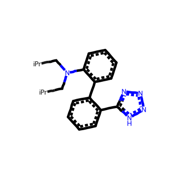 CC(C)CN(CC(C)C)c1ccccc1-c1ccccc1-c1nnn[nH]1